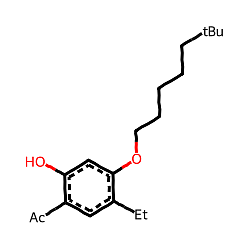 CCc1cc(C(C)=O)c(O)cc1OCCCCCC(C)(C)C